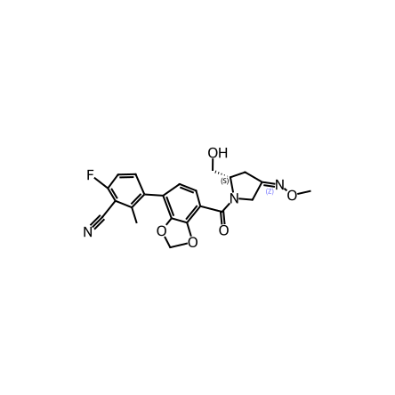 CO/N=C1/C[C@@H](CO)N(C(=O)c2ccc(-c3ccc(F)c(C#N)c3C)c3c2OCO3)C1